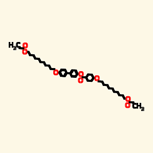 C=CC(=O)OCCCCCCCCCCCOc1ccc(-c2ccc(OC(=O)C3CCC(OCCCCCCCCCCCOC(=O)C=C)CC3)cc2)cc1